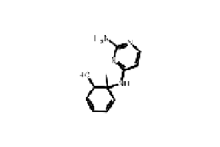 CC1(Nc2ccnc(N)n2)C=CC=CC1O